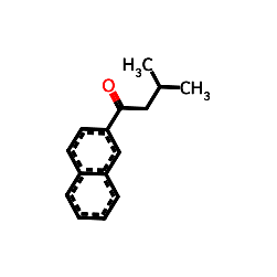 CC(C)CC(=O)c1ccc2ccccc2c1